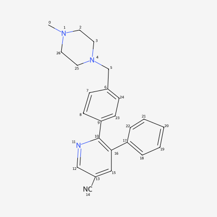 CN1CCN(Cc2ccc(-c3ncc(C#N)cc3-c3ccccc3)cc2)CC1